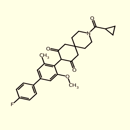 COc1cc(-c2ccc(F)cc2)cc(C)c1C1C(=O)CC2(CCN(C(=O)C3CC3)CC2)CC1=O